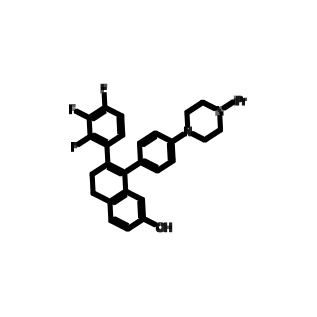 CC(C)N1CCN(c2ccc(C3=C(c4ccc(F)c(F)c4F)CCc4ccc(O)cc43)cc2)CC1